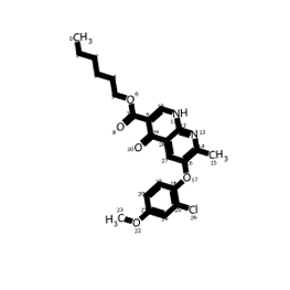 CCCCCCOC(=O)c1c[nH]c2nc(C)c(Oc3ccc(OC)cc3Cl)cc2c1=O